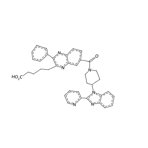 O=C(O)CCCCc1nc2cc(C(=O)N3CCC(n4c(-c5ccccn5)nc5ccccc54)CC3)ccc2nc1-c1ccccc1